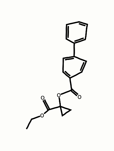 CCOC(=O)C1(OC(=O)c2ccc(-c3ccccc3)cc2)CC1